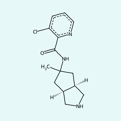 CC1(NC(=O)c2ncccc2Cl)C[C@H]2CNC[C@H]2C1